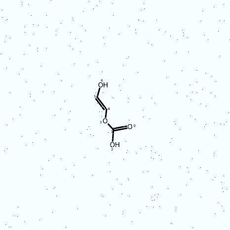 O=C(O)OC=CO